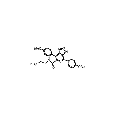 COc1ccc(-c2nc(C(=O)NCCC(=O)O)c(-c3ccc(OC)cc3)c3nonc23)cc1